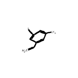 C=Cc1cc(I)cc(C(F)(F)F)c1